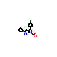 O=C(O)Cn1nc(-c2ccc(F)cc2)c2c(Cl)c(-c3ccccc3)nnc21